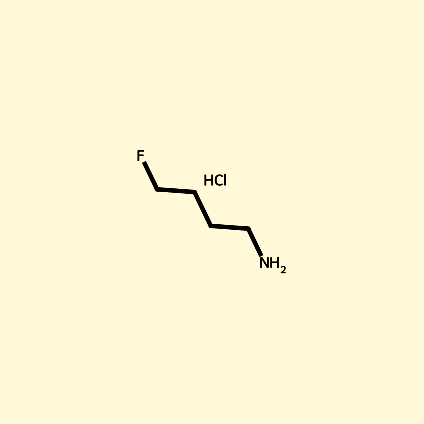 Cl.NCCCCF